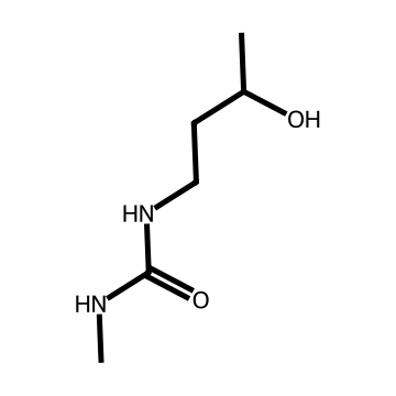 CNC(=O)NCCC(C)O